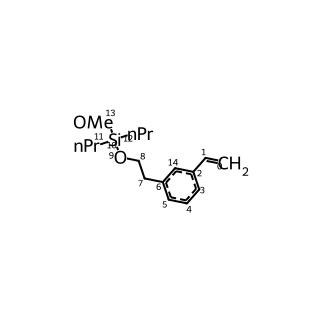 C=Cc1cccc(CCO[Si](CCC)(CCC)OC)c1